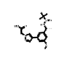 COc1cc(-c2cnn(CC(=O)O)c2)cc([C@@H](C)N[S+]([O-])C(C)(C)C)c1